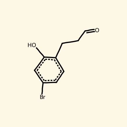 O=CCCc1ccc(Br)cc1O